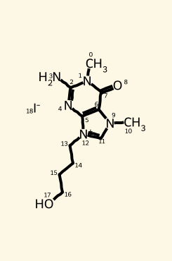 Cn1c(N)nc2c(c1=O)n(C)c[n+]2CCCCO.[I-]